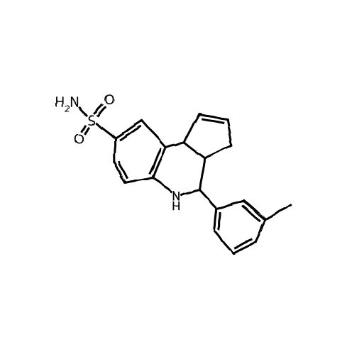 Cc1cccc(C2Nc3ccc(S(N)(=O)=O)cc3C3C=CCC32)c1